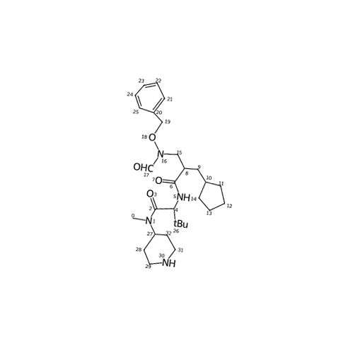 CN(C(=O)C(NC(=O)C(CC1CCCC1)CN(C=O)OCc1ccccc1)C(C)(C)C)C1CCNCC1